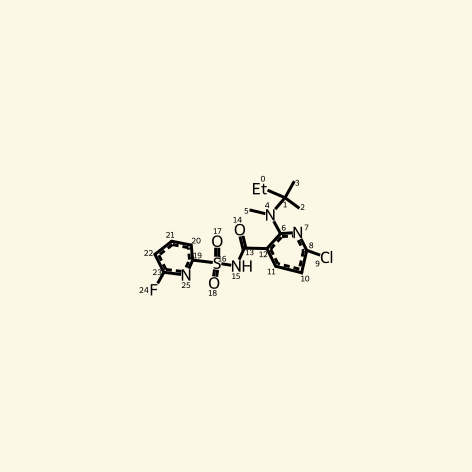 CCC(C)(C)N(C)c1nc(Cl)ccc1C(=O)NS(=O)(=O)c1cccc(F)n1